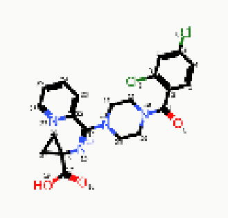 O=C(c1ccc(Cl)cc1Cl)N1CCN(/C(=N/C2(C(=O)O)CC2)c2ccccn2)CC1